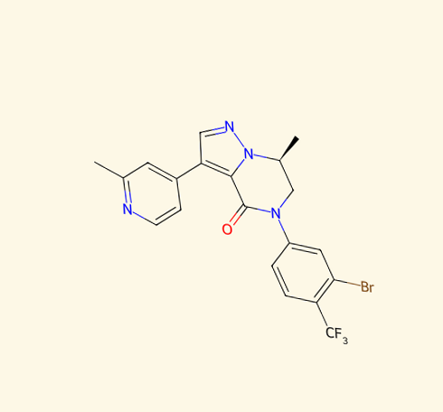 Cc1cc(-c2cnn3c2C(=O)N(c2ccc(C(F)(F)F)c(Br)c2)C[C@@H]3C)ccn1